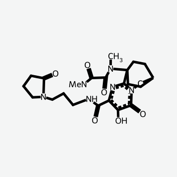 CNC(=O)C(=O)N(C)C12CCC(CC1)Cn1c2nc(C(=O)NCCCN2CCCC2=O)c(O)c1=O